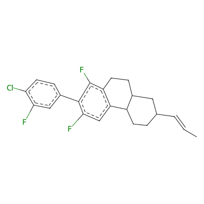 C/C=C/C1CCC2c3cc(F)c(-c4ccc(Cl)c(F)c4)c(F)c3CCC2C1